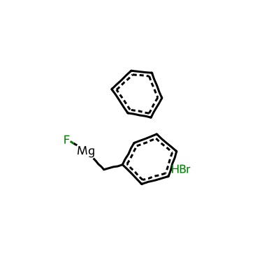 Br.[F][Mg][CH2]c1ccccc1.c1ccccc1